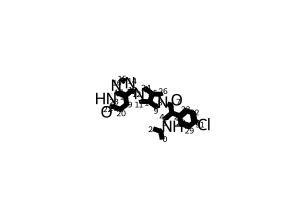 CC(C)NCC(C(=O)N1CC2CN(c3ncnc4c3CCC(=O)N4)CC2C1)c1ccc(Cl)cc1